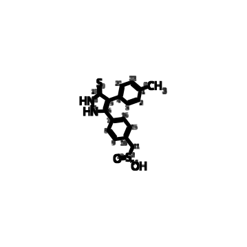 Cc1ccc(-c2c(-c3ccc(CS(=O)O)cc3)[nH][nH]c2=S)cc1